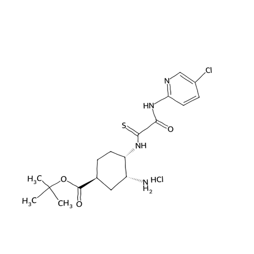 CC(C)(C)OC(=O)[C@H]1CC[C@H](NC(=S)C(=O)Nc2ccc(Cl)cn2)[C@H](N)C1.Cl